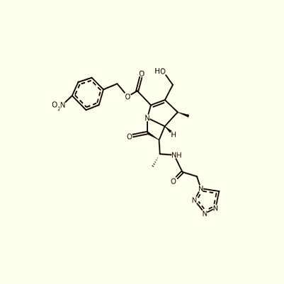 C[C@@H]1C(CO)=C(C(=O)OCc2ccc([N+](=O)[O-])cc2)N2C(=O)[C@H]([C@@H](C)NC(=O)Cn3cnnn3)[C@@H]12